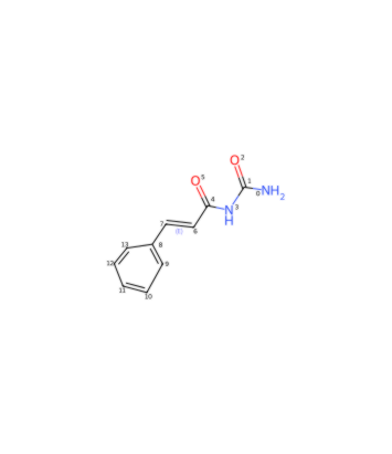 NC(=O)NC(=O)/C=C/c1ccccc1